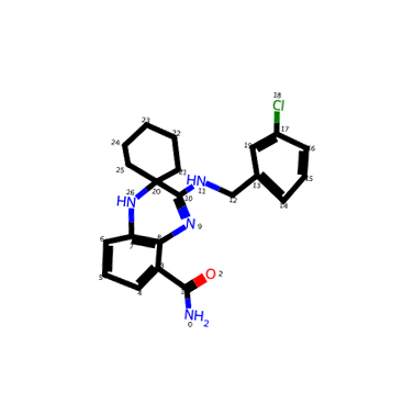 NC(=O)c1cccc2c1N=C(NCc1cccc(Cl)c1)C1(CCCCC1)N2